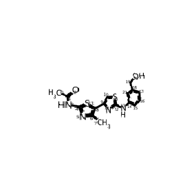 CC(=O)Nc1nc(C)c(-c2csc(Nc3cccc(CO)c3)n2)s1